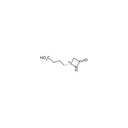 O=C(O)CCC[C@@H]1CC(=O)N1